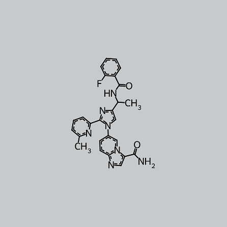 Cc1cccc(-c2nc(C(C)NC(=O)c3ccccc3F)cn2-c2ccc3ncc(C(N)=O)n3c2)n1